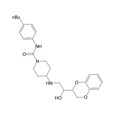 CCCCc1ccc(NC(=O)N2CCC(NCC(O)C3COc4ccccc4O3)CC2)cc1